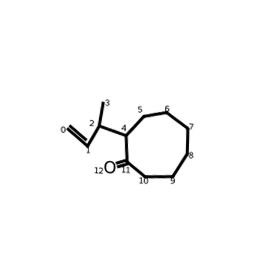 C=CC(C)C1CCCCCCC1=O